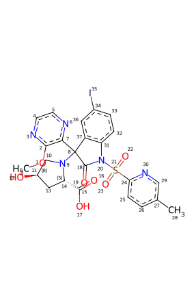 COc1nccnc1C1(N2C[C@H](O)C[C@H]2C(=O)O)C(=O)N(S(=O)(=O)c2ccc(C)cn2)c2ccc(I)cc21